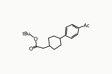 CC(=O)c1ccc(C2CCC(CC(=O)OC(C)(C)C)CC2)cc1